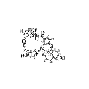 C[C@H]1COCC[C@@H](O)[C@@H]2CC[C@H]2CN2C[C@@]3(CCCc4cc(Cl)ccc43)COc3ccc(cc32)C(=O)NS1(=O)=O